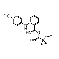 N=C(OC(=N)C1(CO)CC1)c1ccccc1Nc1ccc(C(F)(F)F)cc1